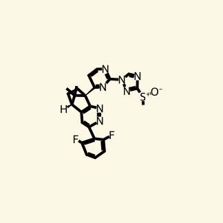 C[S+]([O-])c1ncn(-c2nccc([C@@]34CC[C@@H](c5cc(-c6c(F)cccc6F)nnc53)C4(C)C)n2)n1